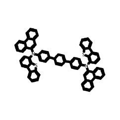 C1=CC(c2ccc(N(c3cc4ccccc4c4ccccc34)c3cccc4c3sc3ccccc34)cc2)CC=C1c1ccc(N(c2cc3ccccc3c3ccccc23)c2cccc3c2sc2ccccc23)cc1